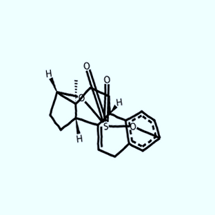 C[C@@]12CC[C@H]3C4=CCc5cc(ccc53)OS(=O)(=O)O[C@@H]1CC[C@@H]42